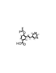 O=C(O)c1ccc(OC(F)F)c(C=Cc2cncnc2)c1